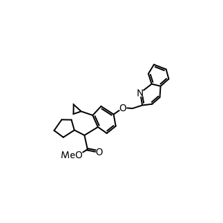 COC(=O)C(c1ccc(OCc2ccc3ccccc3n2)cc1C1CC1)C1CCCC1